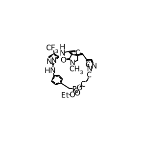 CCOP1(=O)Cc2ccc(cc2)Nc2ncc(C(F)(F)F)c(n2)Nc2ccc(c3c2C(=O)N(C)C3)-c2cnn(c2)CCCO1